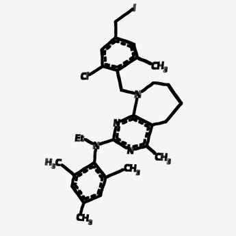 CCN(c1nc(C)c2c(n1)N(Cc1c(C)cc(CI)cc1Cl)CCCC2)c1c(C)cc(C)cc1C